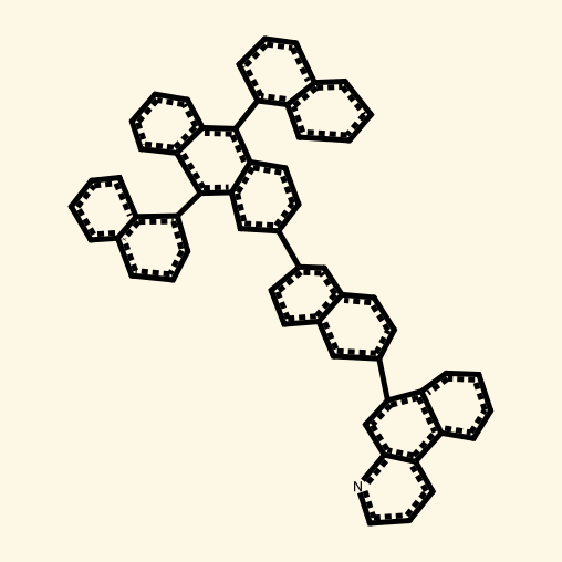 c1ccc2c(-c3c4ccccc4c(-c4cccc5ccccc45)c4cc(-c5ccc6cc(-c7cc8ncccc8c8ccccc78)ccc6c5)ccc34)cccc2c1